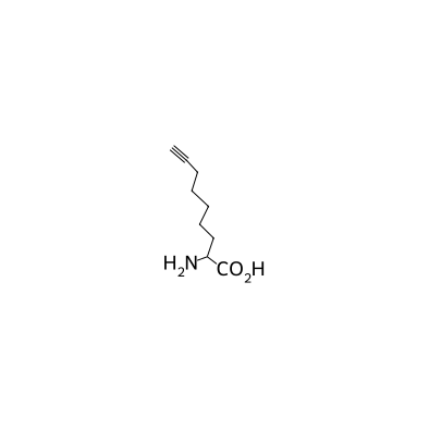 C#CCCCCCC(N)C(=O)O